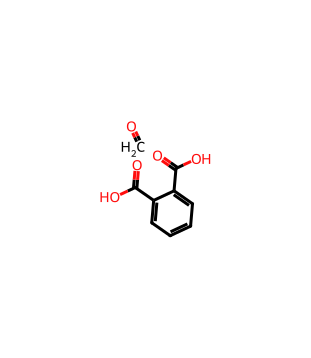 C=O.O=C(O)c1ccccc1C(=O)O